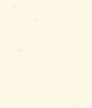 Br.CCCCCCCCCCCCCCCCCCCCN(N1CCNCC1)C(C)(O)O